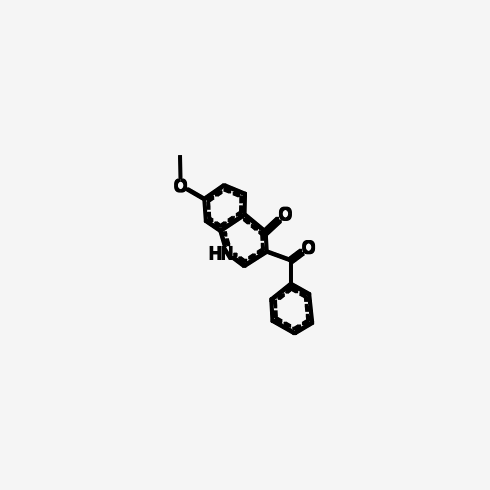 COc1ccc2c(=O)c(C(=O)c3ccccc3)c[nH]c2c1